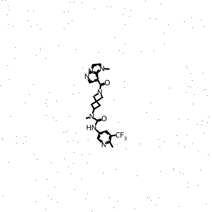 Cc1ncc(NC(=O)N(C)C2CC3(C2)CN(C(=O)c2cnn4ccn(C)c24)C3)cc1C(F)(F)F